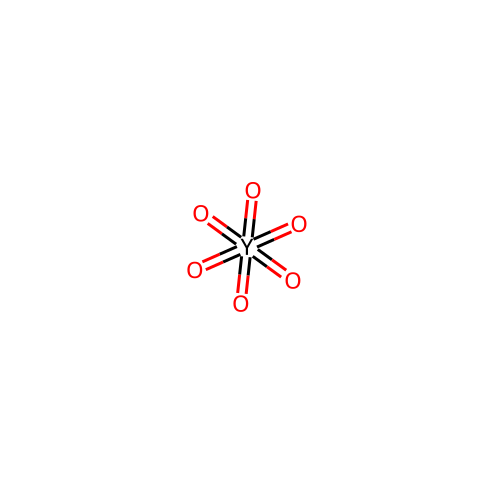 [O]=[Y](=[O])(=[O])(=[O])(=[O])=[O]